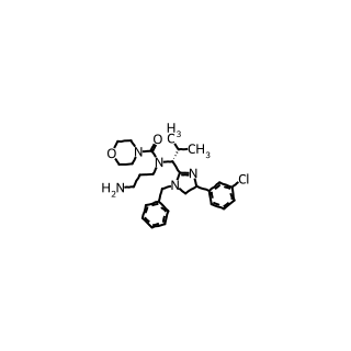 CC(C)[C@H](C1=NC(c2cccc(Cl)c2)CN1Cc1ccccc1)N(CCCN)C(=O)N1CCOCC1